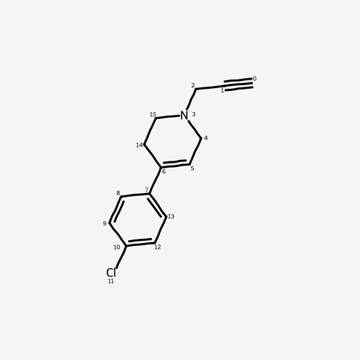 C#CCN1CC=C(c2ccc(Cl)cc2)CC1